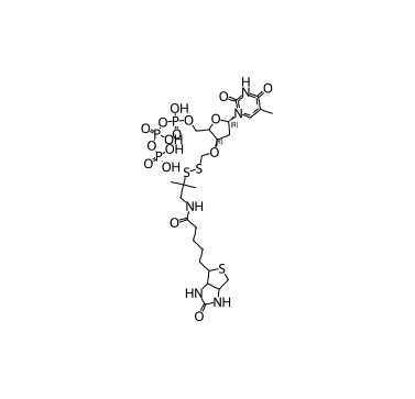 Cc1cn([C@H]2C[C@@H](OCSSC(C)(C)CNC(=O)CCCCC3SCC4NC(=O)NC43)C(COP(=O)(O)OP(=O)(O)OP(=O)(O)O)O2)c(=O)[nH]c1=O